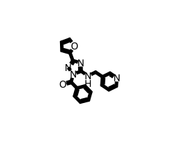 O=C(c1ccccc1)n1nc(-c2ccco2)nc1NCc1cccnc1